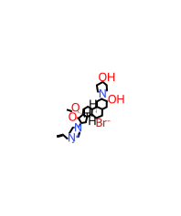 C=CC[N+]1(C)CCN(C2C[C@H]3[C@@H]4CCC5CC(O)C(N6CCC(O)CC6)C[C@]5(C)[C@@H]4CC[C@]3(C)C2OC(C)=O)CC1.[Br-]